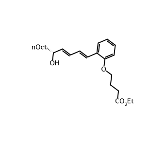 CCCCCCCC[C@@H](O)C=CC=Cc1ccccc1OCCCC(=O)OCC